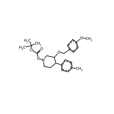 COc1ccc(COC2CN(OC(=O)OC(C)(C)C)CCC2c2ccc(C)cc2)cc1